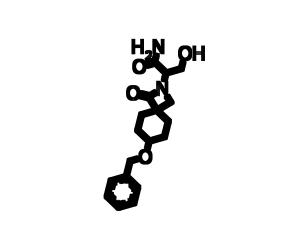 NC(=O)C(CO)N1CC2(CCC(OCc3ccccc3)CC2)C1=O